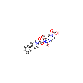 O=C(O)N1CCN2C(=O)N(OC(=O)N3CCC(c4ccccc4)CC3)C(=O)C2C1